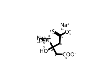 O=C([O-])CC(O)(CC([O-])=S)C(=O)[O-].[Na+].[Na+].[Na+]